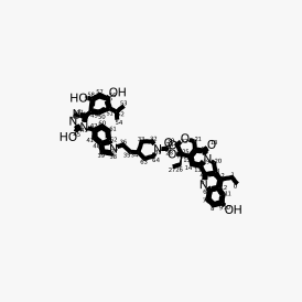 CCc1c2c(nc3ccc(O)cc13)-c1cc3c(c(=O)n1C2)COC(=O)[C@@]3(CC)OC(=O)N1CCC(CCn2ccc3cc(-n4c(O)nnc4-c4cc(C(C)C)c(O)cc4O)ccc32)CC1